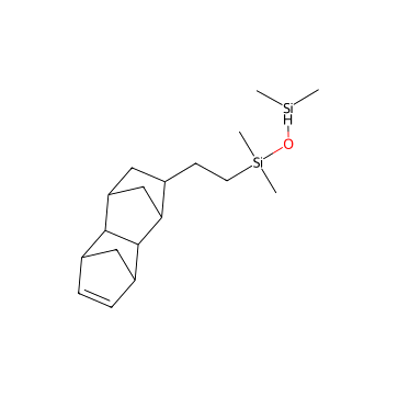 C[SiH](C)O[Si](C)(C)CCC1CC2CC1C1C3C=CC(C3)C21